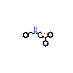 Fc1ccc(CCN[C@@H]2CC[C@H](C(c3ccccc3)c3ccccc3)OC2)cc1